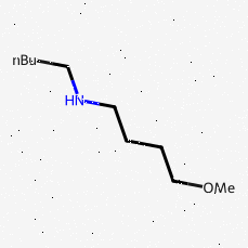 CCCCCNCCCCOC